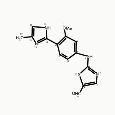 COc1cc(Nc2ncc(C=O)s2)ccc1-c1nc(C)c[nH]1